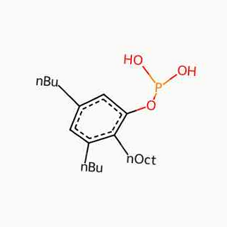 CCCCCCCCc1c(CCCC)cc(CCCC)cc1OP(O)O